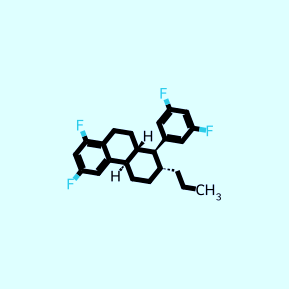 CCC[C@@H]1CC[C@H]2c3cc(F)cc(F)c3CC[C@@H]2[C@H]1c1cc(F)cc(F)c1